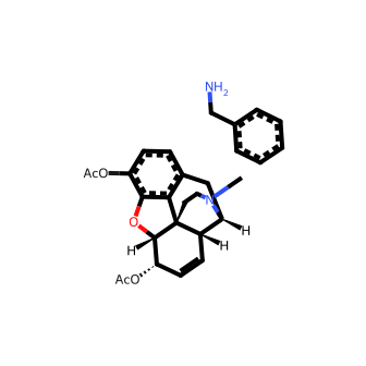 CC(=O)Oc1ccc2c3c1O[C@H]1[C@@H](OC(C)=O)C=C[C@H]4[C@@H](C2)N(C)CC[C@@]341.NCc1ccccc1